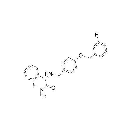 NC(=O)C(NCc1ccc(OCc2cccc(F)c2)cc1)c1ccccc1F